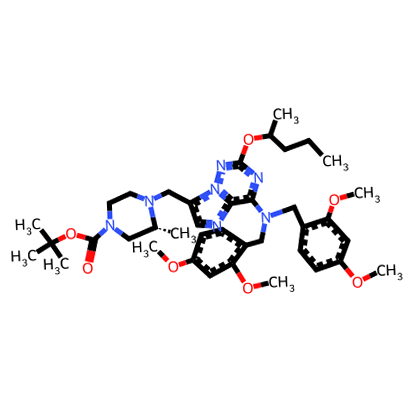 CCCC(C)Oc1nc(N(Cc2ccc(OC)cc2OC)Cc2ccc(OC)cc2OC)c2ncc(CN3CCN(C(=O)OC(C)(C)C)C[C@H]3C)n2n1